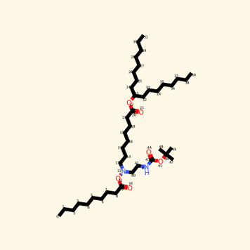 CCCCCCCCCC(=O)ON(CCCCCCCC(=O)OC(CCCCCCCC)CCCCCCCC)CCNC(=O)OC(C)(C)C